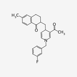 CC(=O)C1=CN(Cc2cccc(F)c2)C=CC1CC1CCc2cc(C)ccc2C1=O